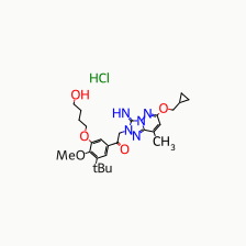 COc1c(OCCCCO)cc(C(=O)Cn2nc3c(C)cc(OCC4CC4)nn3c2=N)cc1C(C)(C)C.Cl